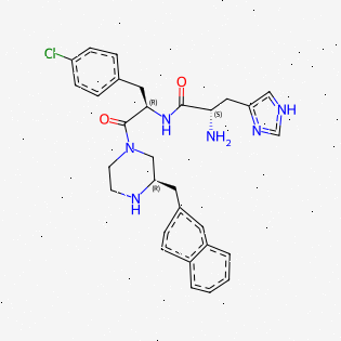 N[C@@H](Cc1c[nH]cn1)C(=O)N[C@H](Cc1ccc(Cl)cc1)C(=O)N1CCN[C@H](Cc2ccc3ccccc3c2)C1